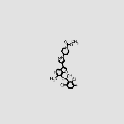 COC(=O)N1CCC(n2cc(-c3coc4c(O[C@H](C)c5c(Cl)ccc(F)c5Cl)c(N)ncc34)cn2)CC1